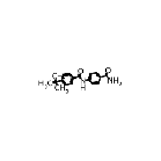 CC(C)(C)c1ccc(C(=O)Nc2ccc(C(N)=O)cc2)cc1